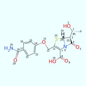 C[C@@H](O)[C@H]1C(=O)N2C(C(=O)O)=C(COc3ccc(C(N)=O)cc3)S[C@H]12